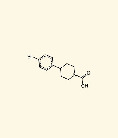 O=C(O)N1CCC(c2ccc(Br)cc2)CC1